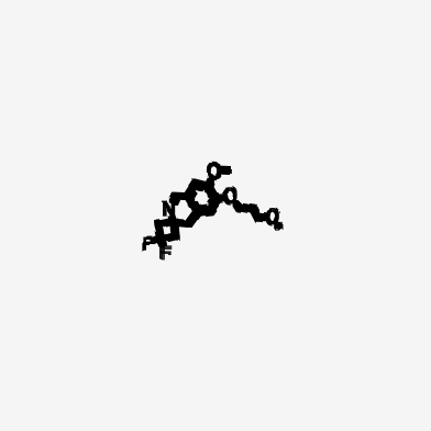 COCCCOc1cc2c(cc1OC)C=NC1(C2)CC(F)(F)C1